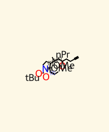 C#CCCC(=O)[C@@H](CCC)[C@](C)(OC)[C@@H]1CCN(C(=O)OC(C)(C)C)[C@]1(/C=C\C)OC